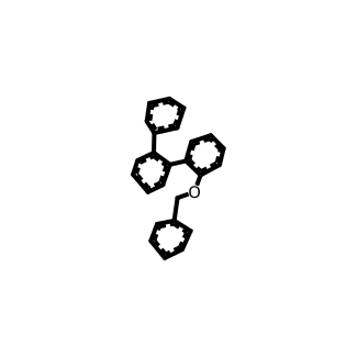 c1ccc(COc2ccccc2-c2ccccc2-c2ccccc2)cc1